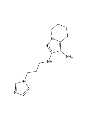 Nc1c(NCCCn2ccnc2)nn2c1CCCC2